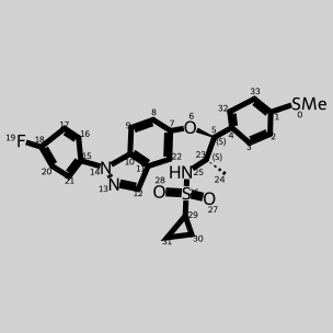 CSc1ccc([C@H](Oc2ccc3c(cnn3-c3ccc(F)cc3)c2)[C@H](C)NS(=O)(=O)C2CC2)cc1